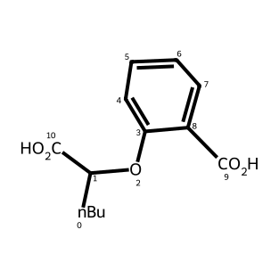 CCCCC(Oc1ccccc1C(=O)O)C(=O)O